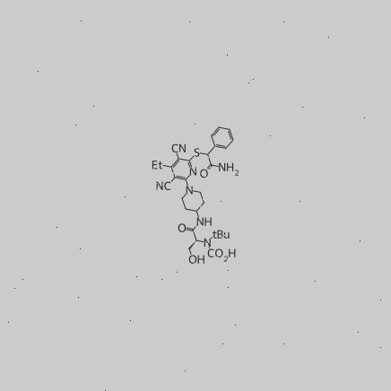 CCc1c(C#N)c(SC(C(N)=O)c2ccccc2)nc(N2CCC(NC(=O)[C@H](CO)N(C(=O)O)C(C)(C)C)CC2)c1C#N